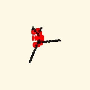 CCCCCCCCCCCCCC(=O)OC[C@H](COP(=O)(O)OCC(COC(=O)CC(C)C)OC(=O)CCC)OC(=O)CCCCCCCCCCCCC